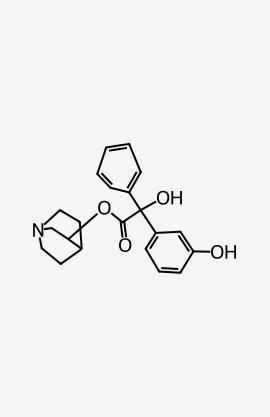 O=C(OC1CN2CCC1CC2)C(O)(c1ccccc1)c1cccc(O)c1